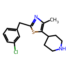 Cc1nc(Cc2cccc(Cl)c2)sc1C1CCNCC1